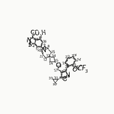 O=C(O)c1nsc2cc(N3C4CCC3CC3(CC(OCc5c(-c6ccccc6OC(F)(F)F)noc5C5CC5)C3)C4)ccc12